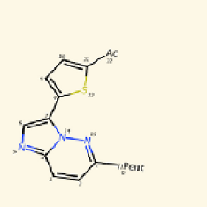 CCCCCc1ccc2ncc(-c3ccc(C(C)=O)s3)n2n1